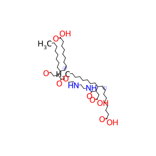 CCCCCCCCC(/C=C\CCCCCCC(=O)O)C(CC(=O)O)C(=O)NCCNCCOC(=O)C(CC=O)C(/C=C\CCCCCCC(=O)O)CCCCCCCC